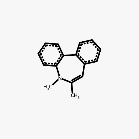 CC1=Cc2ccccc2-c2ccccc2N1C